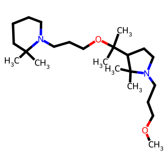 COCCCN1CCC(C(C)(C)OCCCN2CCCCC2(C)C)C1(C)C